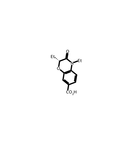 CC[C@H]1Oc2cc(C(=O)O)ccc2N(CC)C1=O